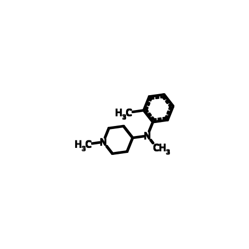 Cc1ccccc1N(C)C1CCN(C)CC1